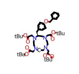 CC(C)(C)OC(=O)CN1CCN(CC(=O)OC(C)(C)C)CCN(CC(=O)OC(C)(C)C)[C@@H](Cc2ccc(OCc3ccccc3)cc2)CN(CC(=O)OC(C)(C)C)CC1